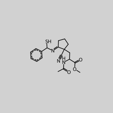 COC(=O)C(CC1(C#N)CCC/C1=N\C(S)c1ccccc1)NC(C)=O